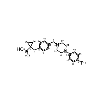 O=C(O)C1(Cc2ccc(CN3CCN(c4ccc(F)cc4)CC3)cc2)CC1